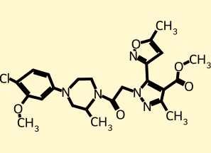 COC(=O)c1c(C)nn(CC(=O)N2CCN(c3ccc(Cl)c(OC)c3)CC2C)c1-c1cc(C)on1